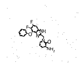 Nc1cccn(Cc2nc3c(Oc4ccccc4)c(F)c(F)cc3[nH]2)c1=O